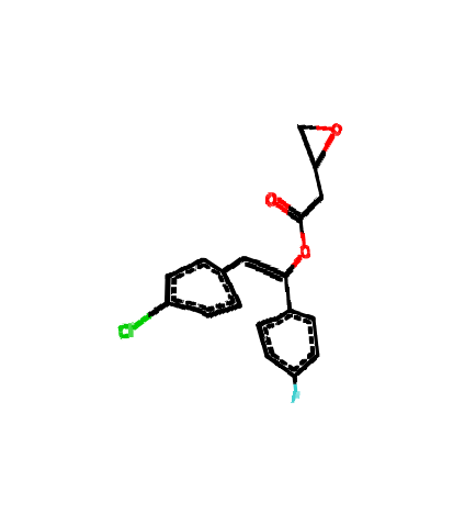 O=C(CC1CO1)O/C(=C/c1ccc(Cl)cc1)c1ccc(F)cc1